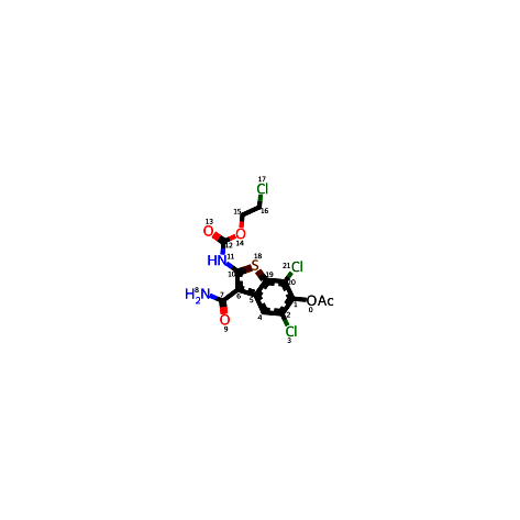 CC(=O)Oc1c(Cl)cc2c(C(N)=O)c(NC(=O)OCCCl)sc2c1Cl